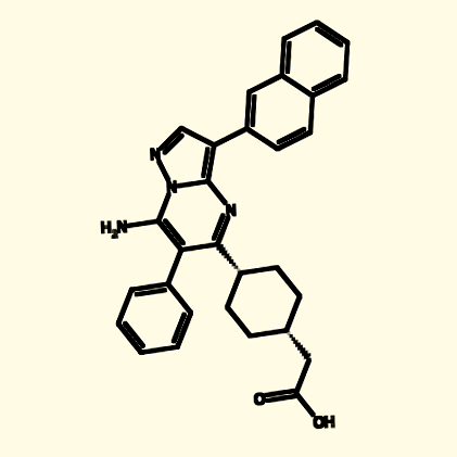 Nc1c(-c2ccccc2)c([C@H]2CC[C@@H](CC(=O)O)CC2)nc2c(-c3ccc4ccccc4c3)cnn12